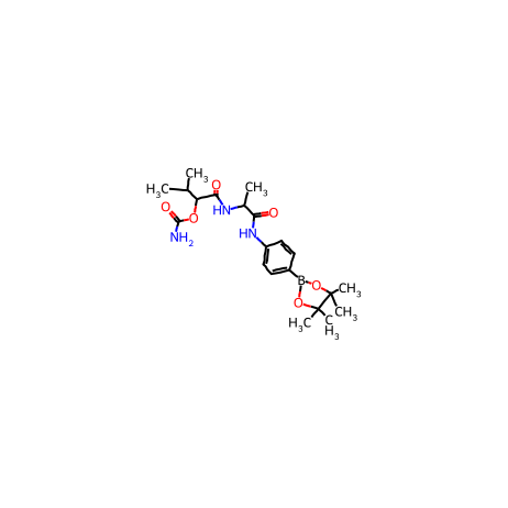 CC(NC(=O)C(OC(N)=O)C(C)C)C(=O)Nc1ccc(B2OC(C)(C)C(C)(C)O2)cc1